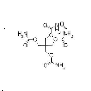 C=O.NC(=O)OCC(COC(N)=O)(COC(N)=O)COC(N)=O